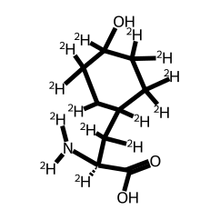 [2H]C1C([2H])([2H])C([2H])(O)C([2H])([2H])C([2H])([2H])C1([2H])C([2H])([2H])[C@@]([2H])(C(=O)O)N([2H])[2H]